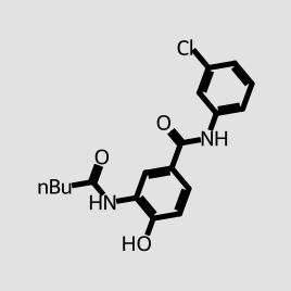 CCCCC(=O)Nc1cc(C(=O)Nc2cccc(Cl)c2)ccc1O